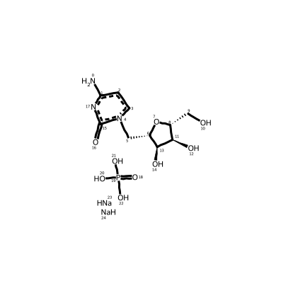 Nc1ccn(C[C@@H]2O[C@H](CO)[C@@H](O)[C@H]2O)c(=O)n1.O=P(O)(O)O.[NaH].[NaH]